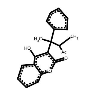 CC(=O)C(C)C(C)(c1ccccc1)c1c(O)c2ccccc2oc1=O